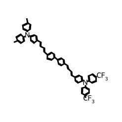 Cc1ccc(N(c2ccc(C)cc2)c2ccc(/C=C/C=C/c3ccc(-c4ccc(/C=C/C=C/c5ccc(N(c6ccc(C(F)(F)F)cc6)c6ccc(C(F)(F)F)cc6)cc5)cc4)cc3)cc2)cc1